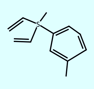 C=CS(C)(C=C)c1cccc(C)c1